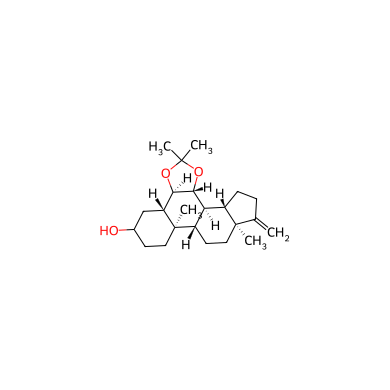 C=C1CC[C@H]2[C@@H]3[C@H]4OC(C)(C)O[C@@H]4[C@H]4CC(O)CC[C@]4(C)[C@H]3CC[C@]12C